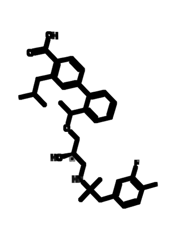 Cc1ccc(CC(C)(C)NC[C@@H](O)COC(C)c2ccccc2-c2ccc(C(=O)O)c(CC(C)C)c2)cc1F